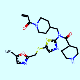 C=CC(=O)N1CCC(CN(C(=O)C2CCNCC2)c2ncc(SCc3ncc(C(C)(C)C)o3)s2)CC1